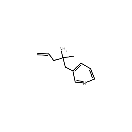 C=CCC(C)(N)Cc1cccnc1